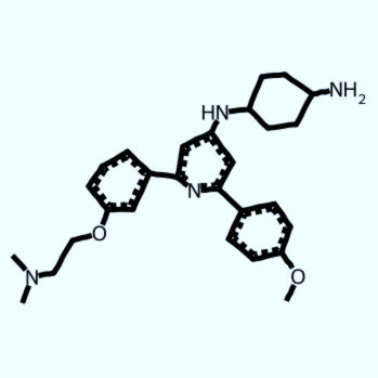 COc1ccc(-c2cc(NC3CCC(N)CC3)cc(-c3cccc(OCCN(C)C)c3)n2)cc1